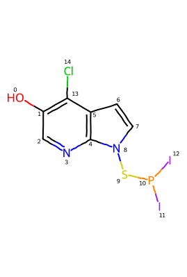 Oc1cnc2c(ccn2SP(I)I)c1Cl